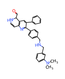 CN(C)c1cccc(CNCc2ccc(-c3nc4c(cc3-c3ccccc3)C(C=O)NC=C4)cc2)c1